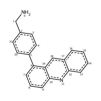 NCc1ccc(-c2cccc3nc4ccccc4cc23)cc1